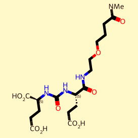 CNC(=O)CCCOCCNC(=O)[C@H](CCC(=O)O)NC(=O)N[C@@H](CCC(=O)O)C(=O)O